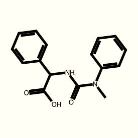 CN(C(=O)NC(C(=O)O)c1ccccc1)c1ccccc1